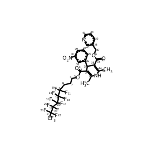 CC1=C(C(=O)OCCCC(F)(F)C(F)(F)C(F)(F)C(F)(F)C(F)(F)C(F)(F)F)C(c2cccc([N+](=O)[O-])c2)C(C(=O)OCc2cccnc2)=C(C)N1